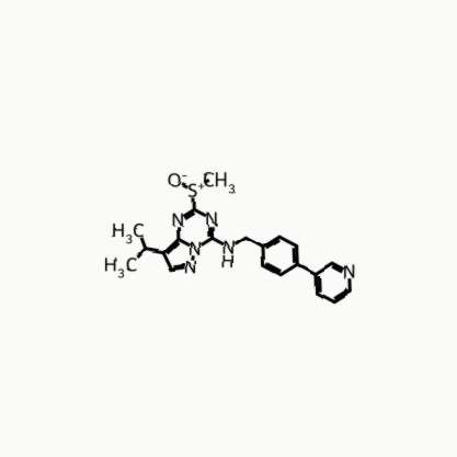 CC(C)c1cnn2c(NCc3ccc(-c4cccnc4)cc3)nc([S+](C)[O-])nc12